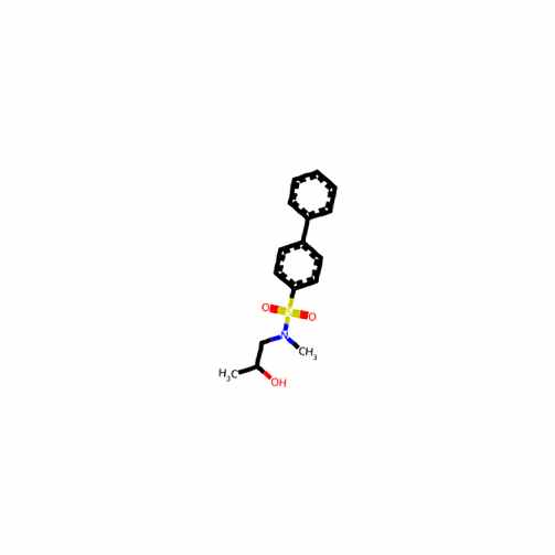 CC(O)CN(C)S(=O)(=O)c1ccc(-c2ccccc2)cc1